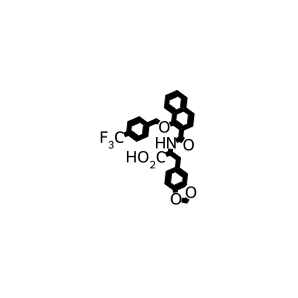 O=C(NC(Cc1ccc2c(c1)OCO2)C(=O)O)c1ccc2ccccc2c1OCc1ccc(C(F)(F)F)cc1